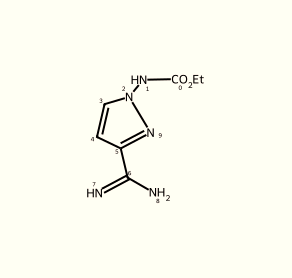 CCOC(=O)Nn1ccc(C(=N)N)n1